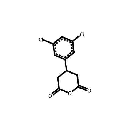 O=C1CC(c2cc(Cl)cc(Cl)c2)CC(=O)O1